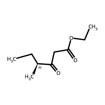 CCOC(=O)CC(=O)[C@@H](C)CC